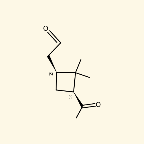 CC(=O)[C@H]1C[C@@H](CC=O)C1(C)C